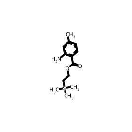 Cc1ccc(C(=O)OCC[Si](C)(C)C)c(N)c1